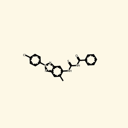 Cc1cc2nn(-c3ccc(Cl)cc3)nc2cc1NC(=S)NC(=O)c1ccccc1